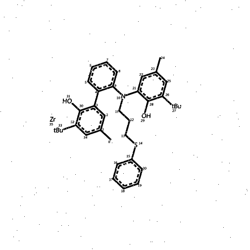 Cc1cc(-c2ccccc2N(CCCSc2ccccc2)c2cc(C)cc(C(C)(C)C)c2O)c(O)c(C(C)(C)C)c1.[Zr]